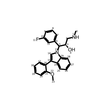 CNC[C@@H](O)C(c1cccc(F)c1)n1cc(-c2ccccc2OC)c2ccccc21